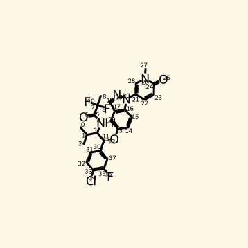 CC(C)C(NC(=O)C(C)(F)F)[C@H](Oc1ccc2c(cnn2-c2ccc(=O)n(C)c2)c1)c1ccc(Cl)c(F)c1